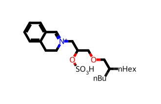 CCCCCCC(CCCC)COCC(C[N+]1=Cc2ccccc2CC1)OS(=O)(=O)O